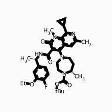 CCOc1cc([C@H](C)NC(=O)c2c(N3CC[C@H](C)N(C(=O)OC(C)(C)C)CC3)c3cc(C)nc(C4CC4)c3n(C)c2=O)ccc1F